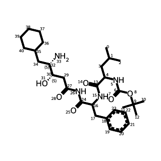 CC(C)CC(NC(=O)OC(C)(C)C)C(=O)NC(Cc1ccccc1)C(=O)NC(=O)C[C@H](O)[C@@H](N)CC1CCCCC1